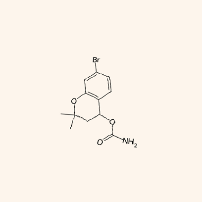 CC1(C)CC(OC(N)=O)c2ccc(Br)cc2O1